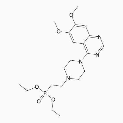 CCOP(=O)(CCN1CCN(c2ncnc3cc(OC)c(OC)cc23)CC1)OCC